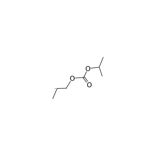 C[CH]COC(=O)OC(C)C